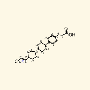 O=C(O)CCc1ccc(C2CCC([C@H]3CC[C@H](/C=C/Cl)CC3)CC2)cc1